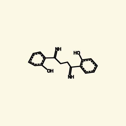 N=C(CCC(=N)c1ccccc1O)c1ccccc1O